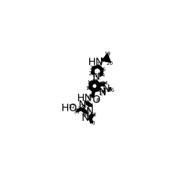 Cc1cn2cc(NC(=O)c3ccc(N4CCC(NC5CC5)CC4)c4cn(C)nc34)nc(CO)c2n1